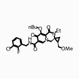 CCCCOc1c2n(cc(C(=O)NCc3cccc(Cl)c3F)c1=O)C[C@]1(C[C@H]1COC)N(CC)C2=O